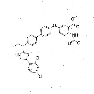 CCC(c1ccc(-c2ccc(Oc3ccc(NC(=O)OC)c(C(=O)OC)c3)cc2)cc1)c1nc(-c2ccc(Cl)cc2Cl)c[nH]1